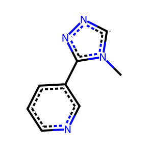 Cn1[c]nnc1-c1cccnc1